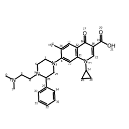 CN(C)CCN1CCN(c2cc3c(cc2F)c(=O)c(C(=O)O)cn3C2CC2)CC1c1ccccc1